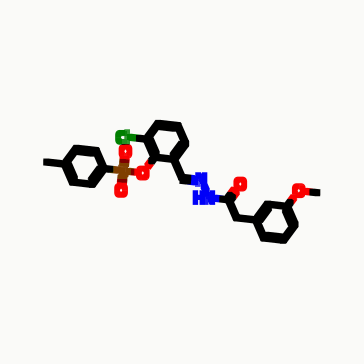 COc1cccc(CC(=O)N/N=C/c2cccc(Cl)c2OS(=O)(=O)c2ccc(C)cc2)c1